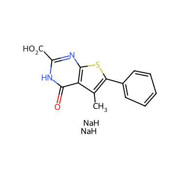 Cc1c(-c2ccccc2)sc2nc(C(=O)O)[nH]c(=O)c12.[NaH].[NaH]